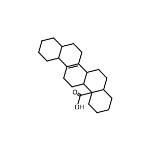 O=C(O)C12CCCCC1CCC1C3=C(CCC12)C1CCCCC1CC3